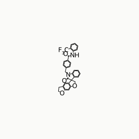 O=C(Nc1ccccc1C(F)(F)F)c1ccc(CN2C(=O)C3(COc4cc5c(cc43)CCO5)c3ccccc32)cc1